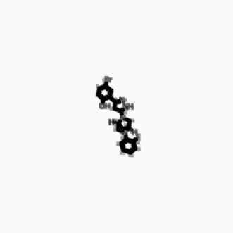 Oc1ccc(Br)cc1C1=NNC(N2C[C@H]3C[C@@H]2CN3c2ccccc2F)C1